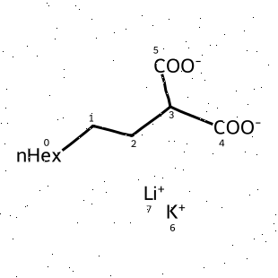 CCCCCCCCC(C(=O)[O-])C(=O)[O-].[K+].[Li+]